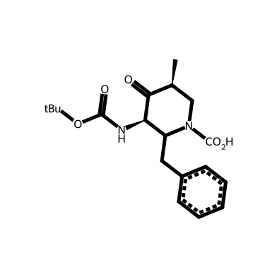 C[C@H]1CN(C(=O)O)C(Cc2ccccc2)[C@@H](NC(=O)OC(C)(C)C)C1=O